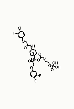 O=C(COc1ccc(Cl)c(F)c1)NC12CCC(NC(=O)COc3ccc(Cl)c(F)c3)(CC1)C(OC(=O)OCCOP(=O)(O)O)C2